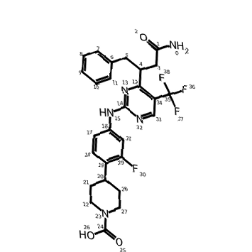 NC(=O)CC(Cc1ccccc1)c1nc(Nc2ccc(C3CCN(C(=O)O)CC3)c(F)c2)ncc1C(F)(F)F